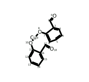 O=Cc1ccccc1[O][Cu][O]c1ccccc1C=O